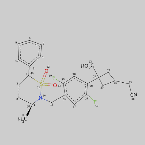 C[C@H]1CC[C@H](c2ccccc2)S(=O)(=O)N1Cc1cc(F)c(C2(C(=O)O)CC(CC#N)C2)cc1F